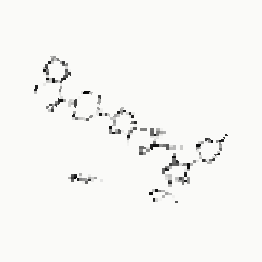 CS(=O)(=O)O.Cc1ccc(-n2nc(C3(C)CC3)cc2NC(=O)Nc2ccc(N3CCN(C(=O)c4ccccc4F)CC3)nc2C)cc1